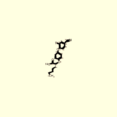 CCCCC[C@@H](Oc1ccc(Oc2ccc(C#N)cc2F)cc1)C(=O)O